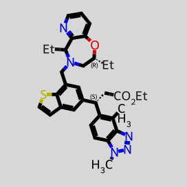 CCOC(=O)C[C@@H](c1cc(CN2C[C@@H](CC)Oc3cccnc3C2CC)c2sccc2c1)c1ccc2c(nnn2C)c1C